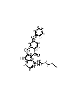 CCCCCNc1ncnc2[nH]cc(C(=O)c3ccc(Oc4ccccc4)cc3Cl)c12